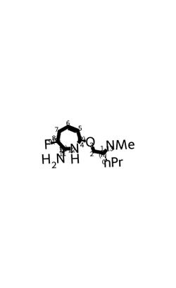 CCC[C@H](CO[C@@H]1C=CC[C@H](F)[C@H](N)N1)NC